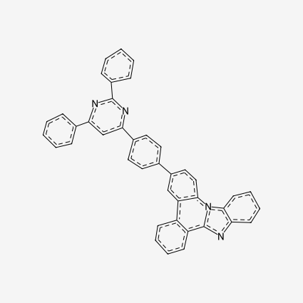 c1ccc(-c2cc(-c3ccc(-c4ccc5c(c4)c4ccccc4c4nc6ccccc6n54)cc3)nc(-c3ccccc3)n2)cc1